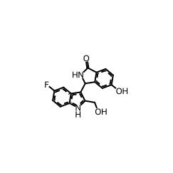 O=C1NC(c2c(CO)[nH]c3ccc(F)cc23)c2cc(O)ccc21